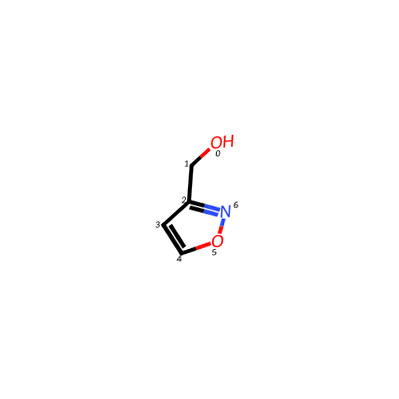 OCc1ccon1